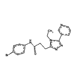 CCn1c(CCC(=O)Nc2ccc(Br)cc2)nnc1-c1cccnc1